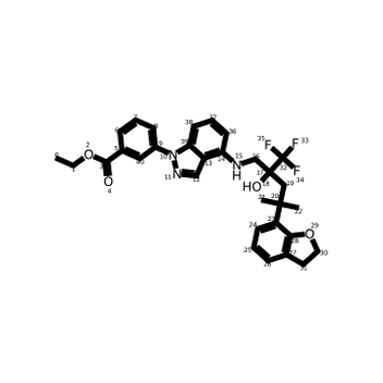 CCOC(=O)c1cccc(-n2ncc3c(NCC(O)(CC(C)(C)c4cccc5c4OCC5)C(F)(F)F)cccc32)c1